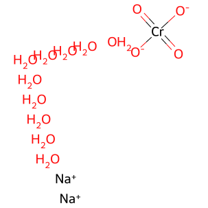 O.O.O.O.O.O.O.O.O.O.[Na+].[Na+].[O]=[Cr](=[O])([O-])[O-]